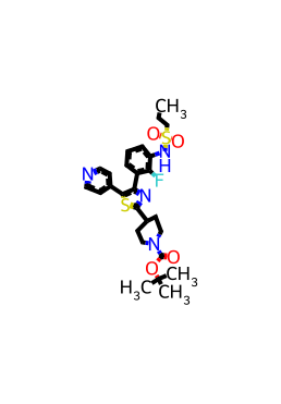 CCCS(=O)(=O)Nc1cccc(-c2nc(C3CCN(C(=O)OC(C)(C)C)CC3)sc2-c2ccncc2)c1F